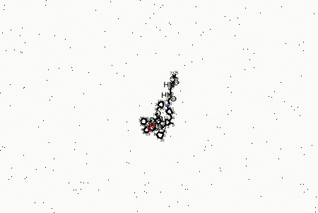 Cc1cc(OCc2ccccc2)c([C@@H]2O[C@H](COCc3ccccc3)[C@@H](OCc3ccccc3)[C@H](OCc3ccccc3)[C@H]2OCc2ccccc2)cc1Cc1ccc(/C=C/CC(=O)NCCCNC(=O)OC(C)(C)C)cc1